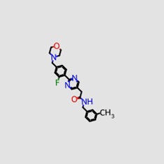 Cc1cccc(CNC(=O)Cc2cnc(-c3ccc(CN4CCOCC4)cc3F)nc2)c1